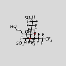 O=S(=O)(O)C(F)(F)C(F)(F)C(F)(F)C(F)(C(F)(F)C(F)(F)F)C(O)(CCCO)C(F)(C(F)(F)C(F)(F)C(F)(F)C(F)(F)C(F)(F)F)S(=O)(=O)O